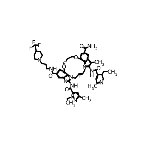 CCC1CN=C(C)C=C1C(=O)Nc1c(C)c2cc(C(N)=O)cc3c2n1C/C=C/Cn1c(NC(=O)c2cc(C)nn2CC)nc2cc(C(=O)NCCCN4CCC(C(F)(F)F)CC4)cc(c21)OCCCO3